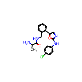 CC(N)C(=O)NCc1ccccc1-c1cnc(Nc2ccc(Cl)cc2)o1